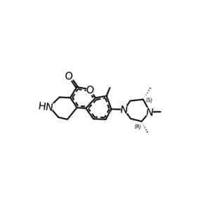 Cc1c(N2C[C@@H](C)N(C)[C@@H](C)C2)ccc2c3c(c(=O)oc12)CNCC3